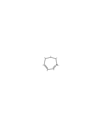 [C]1=NCCCC=C1